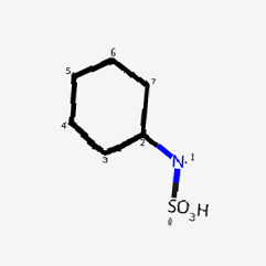 O=S(=O)(O)[N]C1CCCCC1